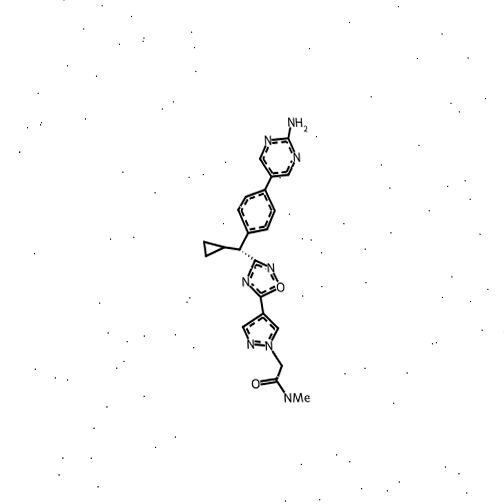 CNC(=O)Cn1cc(-c2nc([C@@H](c3ccc(-c4cnc(N)nc4)cc3)C3CC3)no2)cn1